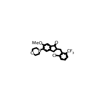 COc1cc2c(cc1N1CCOCC1)CC(Cc1c(Cl)cccc1C(F)(F)F)C2=O